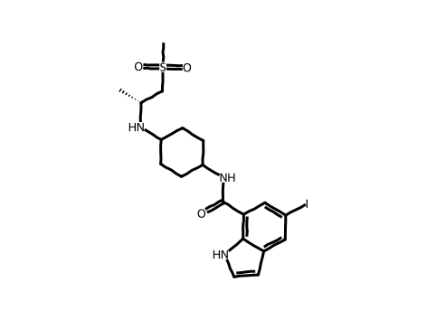 C[C@H](CS(C)(=O)=O)NC1CCC(NC(=O)c2cc(I)cc3cc[nH]c23)CC1